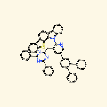 c1ccc(-c2nc(Cc3cc(-c4ccc(-c5ccccc5)c(-c5ccccc5)c4)cnc3-n3c4ccccc4c4ccc5c6ccccc6sc5c43)nc(-c3ccccc3)n2)cc1